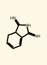 N=C1NC(=N)C2CC=CC=C12